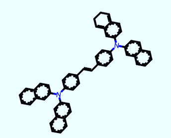 C1=c2ccc(N(c3ccc(/C=C/c4ccc(N(c5ccc6ccccc6c5)c5ccc6ccccc6c5)cc4)cc3)c3ccc4ccccc4c3)cc2=CCC1